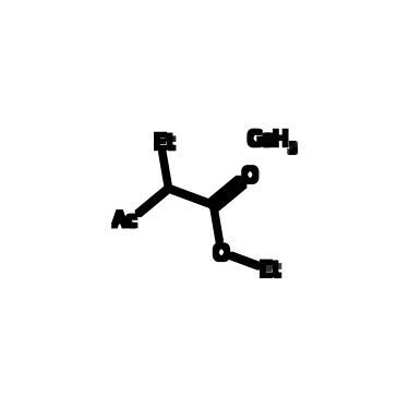 CCOC(=O)C(CC)C(C)=O.[GaH3]